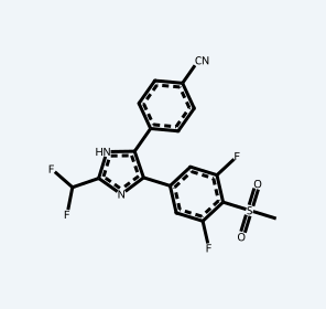 CS(=O)(=O)c1c(F)cc(-c2nc(C(F)F)[nH]c2-c2ccc(C#N)cc2)cc1F